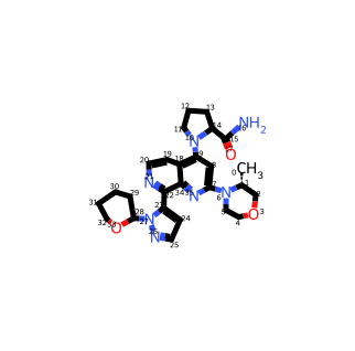 C[C@@H]1COCCN1c1cc(N2CCCC2C(N)=O)c2ccnc(-c3ccnn3C3CCCCO3)c2n1